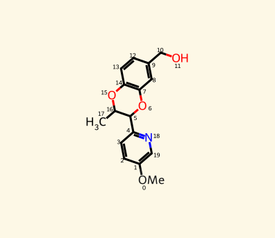 COc1ccc(C2Oc3cc(CO)ccc3OC2C)nc1